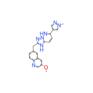 COc1cnc2ccc(Cc3nnc(/C=C\C(=N)c4cnn(C)c4)[nH]3)cc2c1